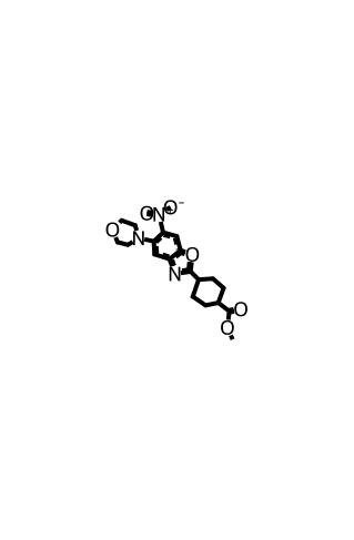 COC(=O)C1CCC(c2nc3cc(N4CCOCC4)c([N+](=O)[O-])cc3o2)CC1